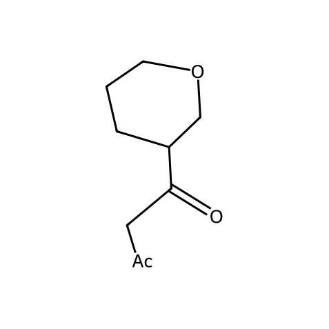 CC(=O)CC(=O)C1CCCOC1